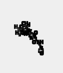 C[C@@H]1[C@H]2C[C@@H](C[C@H]1Nc1cnn(CC(=O)NCCN3CCOCC3)c(=O)c1Br)C2(C)C